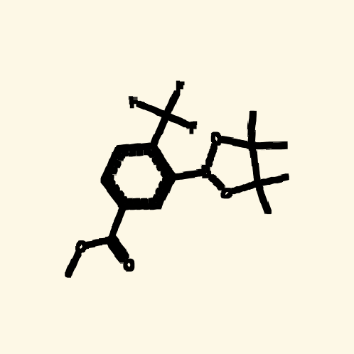 COC(=O)c1ccc(C(F)(F)F)c(B2OC(C)(C)C(C)(C)O2)c1